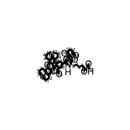 CC(=O)N(O)CCCC[C@H](NC(=O)c1ccc2c(c1)C(=O)OC21c2cc3c4c(c2Oc2c1cc1c5c2CCCN5CCC1)CCCN4CCC3)C(=O)ON1C(=O)CCC1=O